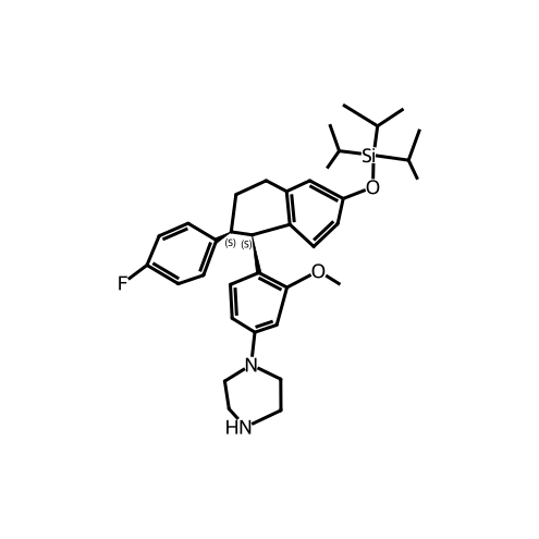 COc1cc(N2CCNCC2)ccc1[C@@H]1c2ccc(O[Si](C(C)C)(C(C)C)C(C)C)cc2CC[C@@H]1c1ccc(F)cc1